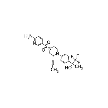 CC#CC1CN(S(=O)(=O)c2ccc(N)nc2)CCN1c1ccc(C(C)(O)C(F)(F)F)cc1